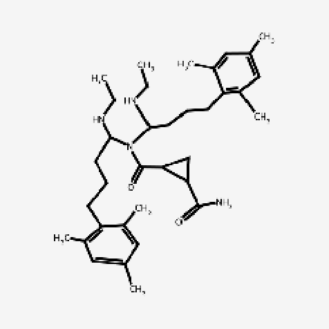 CCNC(CCCc1c(C)cc(C)cc1C)N(C(=O)C1CC1C(N)=O)C(CCCc1c(C)cc(C)cc1C)NCC